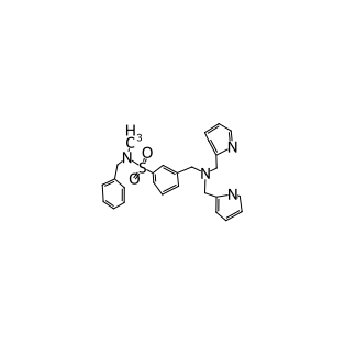 CN(Cc1ccccc1)S(=O)(=O)c1cccc(CN(Cc2ccccn2)Cc2ccccn2)c1